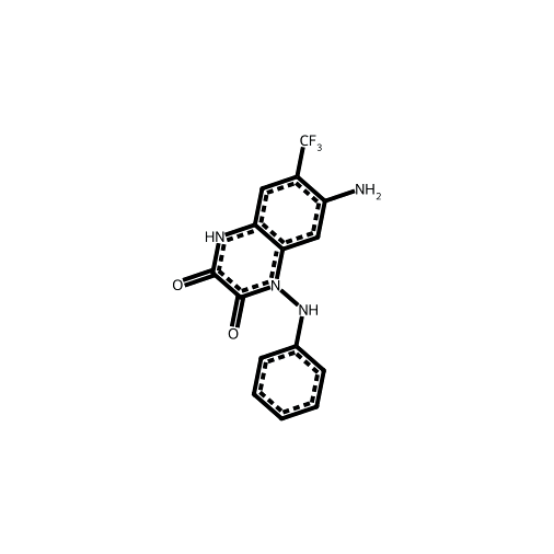 Nc1cc2c(cc1C(F)(F)F)[nH]c(=O)c(=O)n2Nc1ccccc1